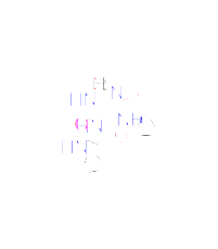 C[C@@H]1NC(=O)[C@H]2CCCN2C(=O)[C@H](Cc2ccccc2)NC(=O)[C@@H](Cc2c[nH]c3ccccc23)NC1=O